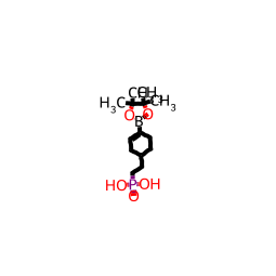 CC1(C)OB(C2=CCC(CCP(=O)(O)O)CC2)OC1(C)C